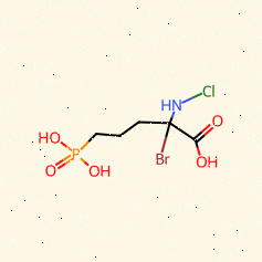 O=C(O)C(Br)(CCCP(=O)(O)O)NCl